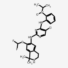 CC(C)[S+]([O-])c1ccccc1Nc1nc(Nc2cc3c(cc2OC(F)F)C(C)(C)NCC3)ncc1Cl